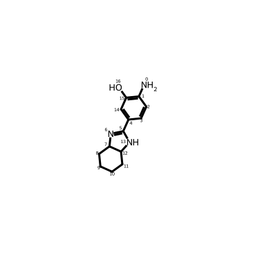 Nc1ccc(C2=NC3CCCCC3N2)cc1O